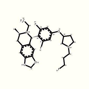 C[C@@H]1Cc2cc3c(cc2[C@@H](c2c(F)cc(OC4CCN(CCCF)C4)cc2F)N1CC(F)(F)F)OCO3